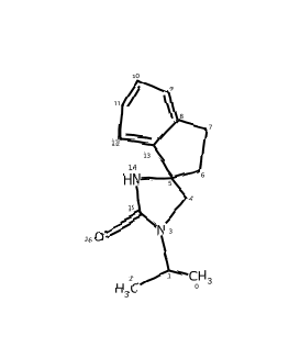 CC(C)N1CC2(CCc3ccccc32)NC1=O